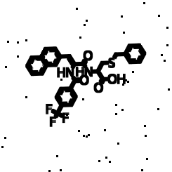 O=C(NC(CSCc1ccccc1)C(=O)O)C(=Cc1ccc2ccccc2c1)NC(=O)c1ccc(C(F)(F)F)cc1